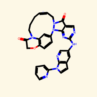 O=C1COc2ccc3cc2N1CCC/C=C\Cn1c(=O)c2cnc(Nc4cnc5c(ccn5-c5ccccn5)c4)nc2n1-3